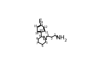 NCCCN1CCCCC1c1ccc(F)cc1